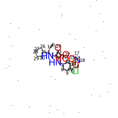 C#CC(Nc1c(Nc2ccc(Cl)c(S(=O)(=O)N(C)C)c2O)c(=O)c1=O)C1CCCCC1